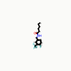 CCCCCC(=O)NCc1ccc(F)c(C(F)(F)F)c1